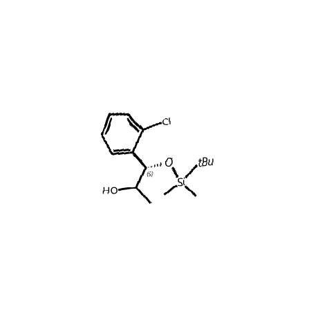 CC(O)[C@@H](O[Si](C)(C)C(C)(C)C)c1ccccc1Cl